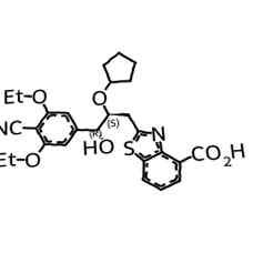 CCOc1cc([C@@H](O)[C@H](Cc2nc3c(C(=O)O)cccc3s2)OC2CCCC2)cc(OCC)c1C#N